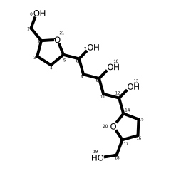 OCC1CCC(C(O)CC(O)CC(O)C2CCC(CO)O2)O1